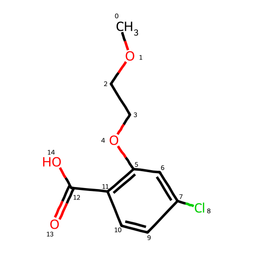 COCCOc1cc(Cl)ccc1C(=O)O